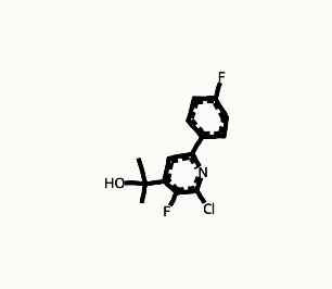 CC(C)(O)c1cc(-c2ccc(F)cc2)nc(Cl)c1F